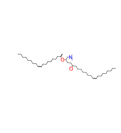 C=C(CCCCCCC/C=C\CCCCCCCC)OC(CCC(=O)CCCCCCC/C=C\CCCCCCCC)CN(C)C